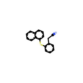 N#CCc1ccccc1Sc1cccc2ccccc12